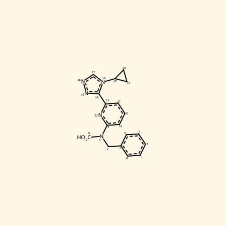 O=C(O)N(Cc1ccccc1)c1cccc(-c2nncn2C2CC2)n1